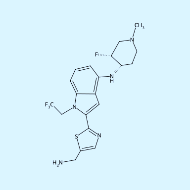 CN1CC[C@H](Nc2cccc3c2cc(-c2ncc(CN)s2)n3CC(F)(F)F)[C@H](F)C1